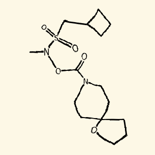 CN(OC(=O)N1CCC2(CCCO2)CC1)S(=O)(=O)CC1CCC1